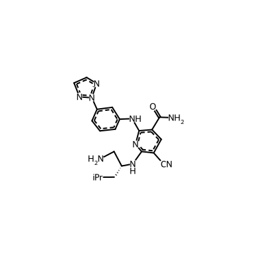 CC(C)C[C@H](CN)Nc1nc(Nc2cccc(-n3nccn3)c2)c(C(N)=O)cc1C#N